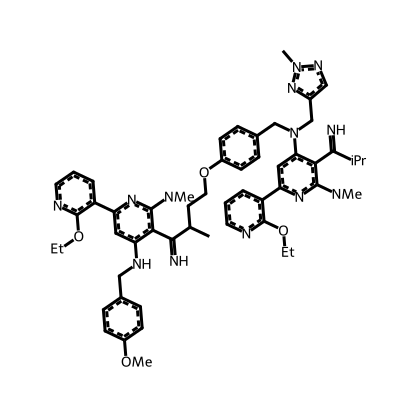 CCOc1ncccc1-c1cc(NCc2ccc(OC)cc2)c(C(=N)C(C)CCOc2ccc(CN(Cc3cnn(C)n3)c3cc(-c4cccnc4OCC)nc(NC)c3C(=N)C(C)C)cc2)c(NC)n1